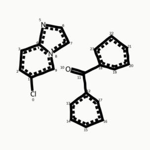 Clc1ccc2nccn2c1.O=C(c1ccccc1)c1ccccc1